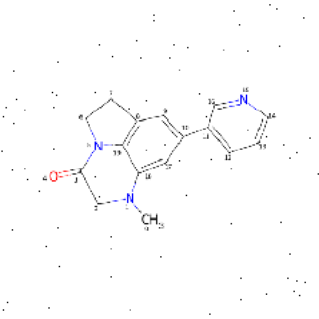 CN1CC(=O)N2CCc3cc(-c4cccnc4)cc1c32